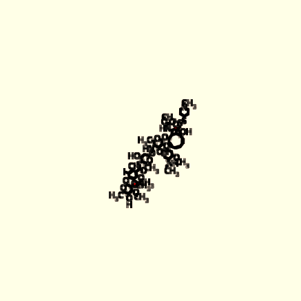 CCN[C@H]1CO[C@@H](O[C@H]2[C@H](O[C@H]3C#CC=CC#C[C@]4(O)CC(=O)C(NC(=O)OC)=C3C4=CCSSC3CCN(C)CC3)O[C@H](C)[C@@H](NO[C@H]3C[C@H](O)[C@H](SC(=O)c4c(C)c(I)c(O[C@@H]5O[C@@H](C)[C@H](O)[C@@H](OC)[C@H]5O)c(OC)c4OC)[C@@H](C)O3)[C@@H]2O)C[C@@H]1OC